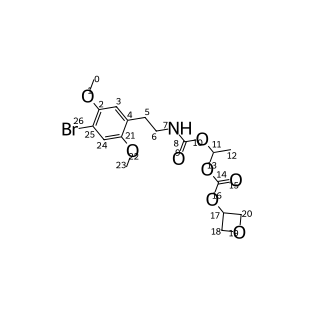 COc1cc(CCNC(=O)OC(C)OC(=O)OC2COC2)c(OC)cc1Br